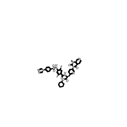 Cn1c(=O)n(-c2ccc(C[C@H](NC(=O)c3cc(F)c(NS(=O)(=O)c4ccc(-n5cnnc5)cc4)cc3F)C(=O)OC3CCCCC3)nc2)c(=O)c2ccncc21